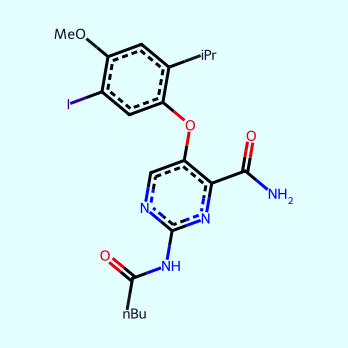 CCCCC(=O)Nc1ncc(Oc2cc(I)c(OC)cc2C(C)C)c(C(N)=O)n1